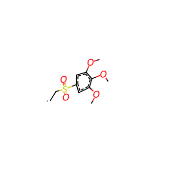 [CH2]CS(=O)(=O)c1cc(OC)c(OC)c(OC)c1